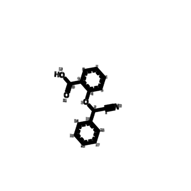 N#CC(Oc1ccccc1C(=O)O)c1ccccc1